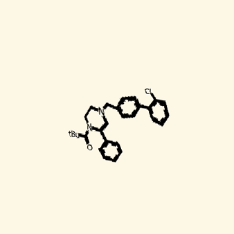 CC(C)(C)C(=O)N1CCN(Cc2ccc(-c3ccccc3Cl)cc2)CC1c1ccccc1